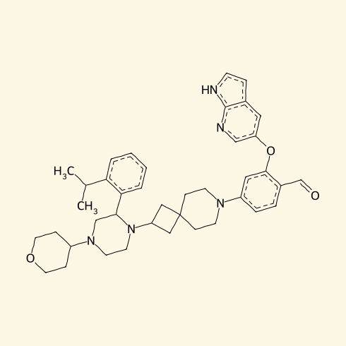 CC(C)c1ccccc1C1CN(C2CCOCC2)CCN1C1CC2(CCN(c3ccc(C=O)c(Oc4cnc5[nH]ccc5c4)c3)CC2)C1